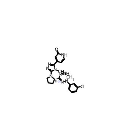 CN(/N=C(\N=N)[C@H]1CCCN1c1nnc(-c2cc[nH]c(=O)c2)n1C)c1cccc(Cl)c1